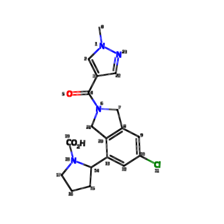 Cn1cc(C(=O)N2Cc3cc(Cl)cc(C4CCCN4C(=O)O)c3C2)cn1